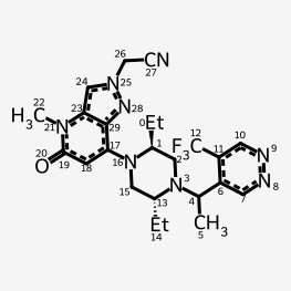 CC[C@H]1CN(C(C)c2cnncc2C(F)(F)F)[C@H](CC)CN1c1cc(=O)n(C)c2cn(CC#N)nc12